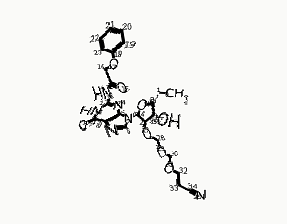 CC[C@H]1O[C@@H](n2cnc3c(=O)[nH]c(NC(=O)COc4ccccc4)nc32)C(OCOCOCCC#N)[C@H]1O